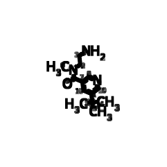 CN(CCN)C(=O)c1cncc(C(C)(C)C)c1